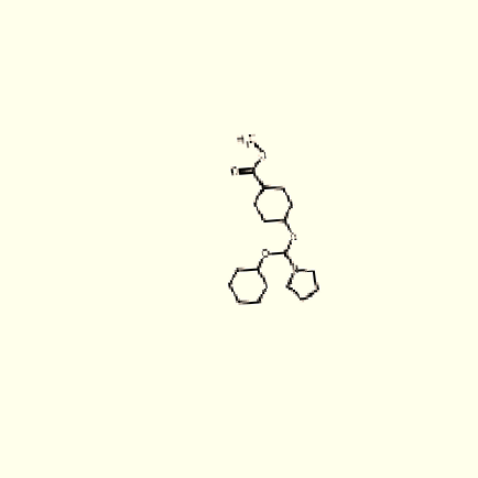 COC(=O)C1CCC(OC(OC2CCCCC2)N2CCCC2)CC1